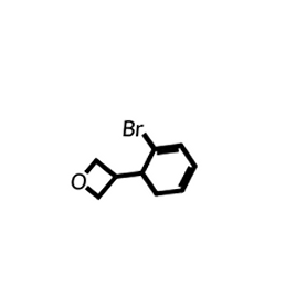 BrC1=CC=CCC1C1COC1